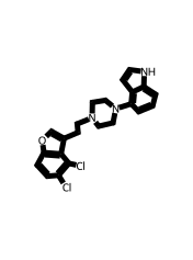 Clc1ccc2occ(CCN3CCN(c4cccc5[nH]ccc45)CC3)c2c1Cl